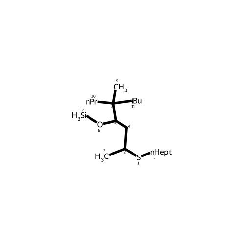 CCCCCCCSC(C)CC(O[SiH3])C(C)(CCC)C(C)CC